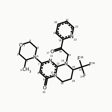 CC1COCCN1c1cc(=O)n2c(n1)N(CC(=O)c1ccccn1)C(C(F)(F)F)CC2